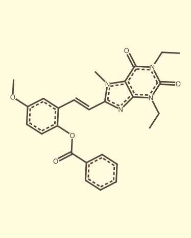 CCn1c(=O)c2c(nc(C=Cc3cc(OC)ccc3OC(=O)c3ccccc3)n2C)n(CC)c1=O